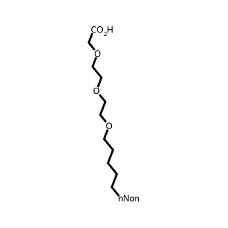 CCCCCCCCCCCCCCOCCOCCOCC(=O)O